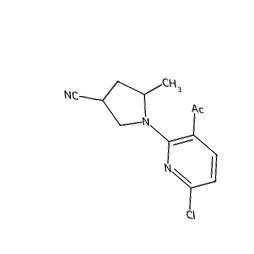 CC(=O)c1ccc(Cl)nc1N1CC(C#N)CC1C